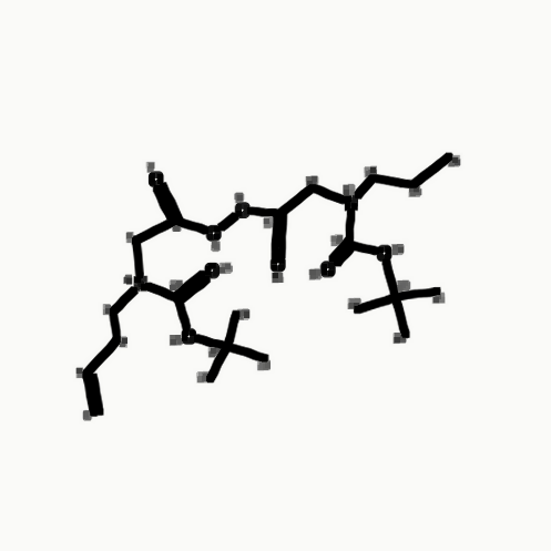 C=CCCN(CC(=O)OOC(=O)CN(CCC)C(=O)OC(C)(C)C)C(=O)OC(C)(C)C